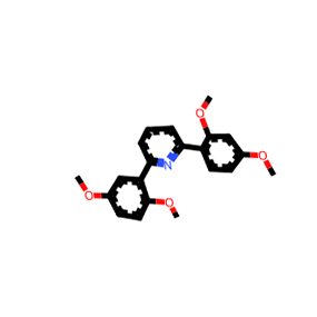 COc1ccc(-c2cccc(-c3cc(OC)ccc3OC)n2)c(OC)c1